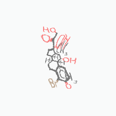 C[C@]12CCC(=O)C(Br)=C1CC[C@@H]1[C@@H]2[C@@H](O)C[C@@]2(C)[C@H]1CC[C@]2(O)C(=O)CO